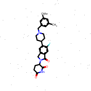 COc1cc(C)cc(CN2CCC(c3cc4c(cc3F)C(=O)N(C3CCC(=O)NC3=O)C4)CC2)c1